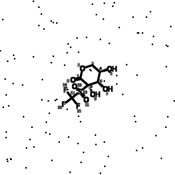 O=C1OC[C@@H](O)[C@@H](O)[C@@]1(O)S(=O)(=O)C(F)(F)F